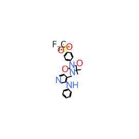 CC1(C)C(=O)N(c2ccc(S(=O)(=O)C(F)(F)F)cc2)C(=O)N1Cc1ccncc1Nc1ccccc1